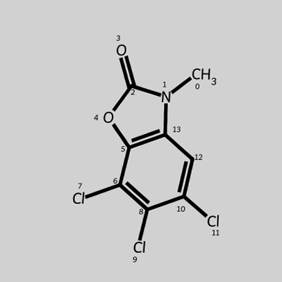 Cn1c(=O)oc2c(Cl)c(Cl)c(Cl)cc21